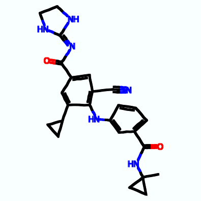 CC1(NC(=O)c2cccc(Nc3c(C#N)cc(C(=O)N=C4NCCN4)cc3C3CC3)c2)CC1